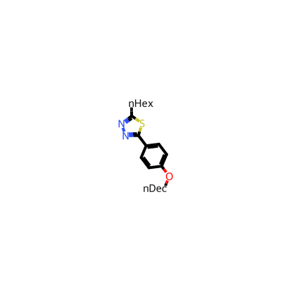 CCCCCCCCCCOc1ccc(-c2nnc(CCCCCC)s2)cc1